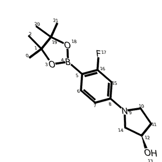 CC1(C)OB(c2ccc(N3CC[C@@H](O)C3)cc2F)OC1(C)C